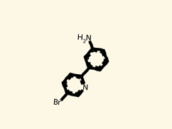 Nc1cccc(-c2ccc(Br)cn2)c1